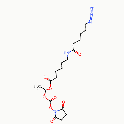 CC(OC(=O)CCCCCNC(=O)CCCCCN=[N+]=[N-])OC(=O)ON1C(=O)CCC1=O